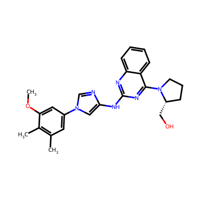 COc1cc(-n2cnc(Nc3nc(N4CCC[C@@H]4CO)c4ccccc4n3)c2)cc(C)c1C